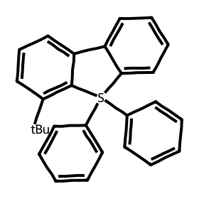 CC(C)(C)c1cccc2c1S(c1ccccc1)(c1ccccc1)c1ccccc1-2